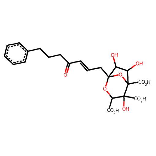 O=C(C=CCC12OC(C(=O)O)C(O)(C(=O)O)C(C(=O)O)(O1)C(O)C2O)CCCc1ccccc1